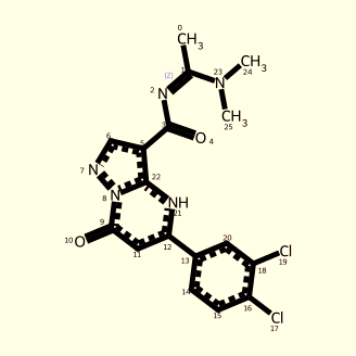 C/C(=N/C(=O)c1cnn2c(=O)cc(-c3ccc(Cl)c(Cl)c3)[nH]c12)N(C)C